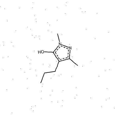 CCCc1c(C)nn(C)c1O